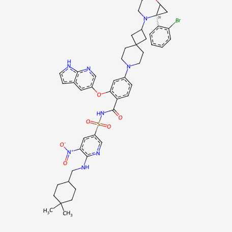 CC1(C)CCC(CNc2ncc(S(=O)(=O)NC(=O)c3ccc(N4CCC5(CC4)CC(N4CCOC6C[C@]64c4ccccc4Br)C5)cc3Oc3cnc4[nH]ccc4c3)cc2[N+](=O)[O-])CC1